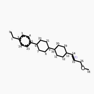 CCc1ccc(C2CCC(C3CCC(/C=C/COC)CC3)CC2)cc1